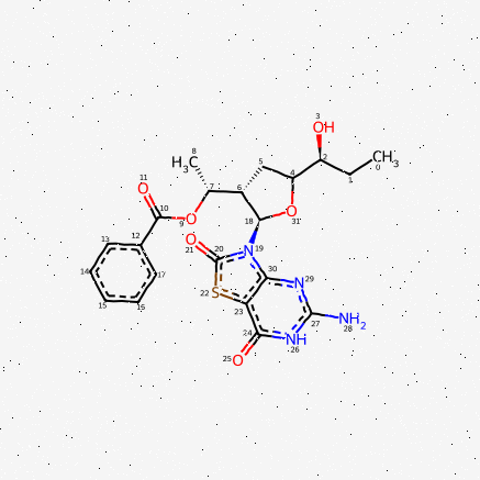 CC[C@H](O)C1C[C@@H]([C@@H](C)OC(=O)c2ccccc2)[C@H](n2c(=O)sc3c(=O)[nH]c(N)nc32)O1